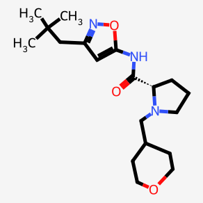 CC(C)(C)Cc1cc(NC(=O)[C@@H]2CCCN2CC2CCOCC2)on1